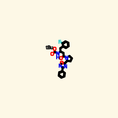 CC(C)(C)OC(=O)NC(CC(=O)N1CCCC1c1nc(-c2ccccc2)no1)Cc1ccccc1F